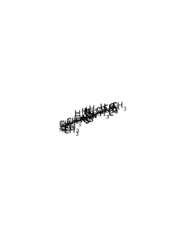 CC1=C(/C=C/C(C)=C/C=C/C(C)=C/C=N/NC(=S)NC(=S)N/N=C/C=C(C)/C=C/C=C(C)/C=C/C2=C(C)CCCC2(C)C)C(C)(C)CCC1.O.[Na+]